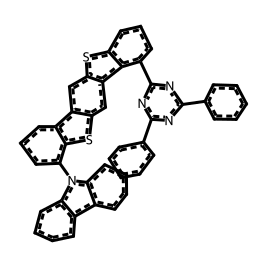 c1ccc(-c2nc(-c3ccccc3)nc(-c3cccc4sc5cc6c(cc5c34)sc3c(-n4c5ccccc5c5ccccc54)cccc36)n2)cc1